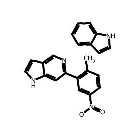 Cc1ccc([N+](=O)[O-])cc1-c1cc2[nH]ccc2cn1.c1ccc2[nH]ccc2c1